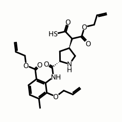 C=CCOC(=O)c1ccc(C)c(OCC=C)c1NC(=O)[C@@H]1C[C@@H](C(C(=O)S)C(=O)OCC=C)CN1